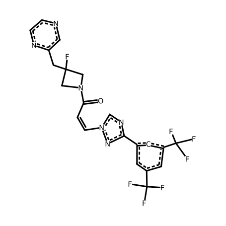 O=C(/C=C\n1cnc(-c2cc(C(F)(F)F)cc(C(F)(F)F)c2)n1)N1CC(F)(Cc2cnccn2)C1